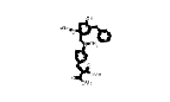 CCCCCCCCOc1cc(O)c(Cc2ccccc2)cc1CN(C)c1ccc(C=C(C(=O)OC)C(=O)OC)cc1